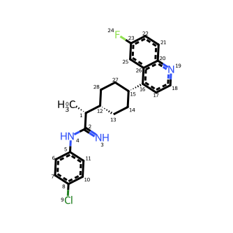 C[C@@H](C(=N)Nc1ccc(Cl)cc1)[C@H]1CC[C@@H](c2ccnc3ccc(F)cc32)CC1